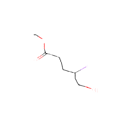 COC(=O)CCC(I)CO